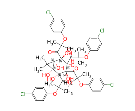 CC(C)(Oc1ccc(Cl)cc1)C(=O)[C@@]1(O)[C@](O)(C(=O)C(C)(C)Oc2ccc(Cl)cc2)[C@@](O)(C(=O)C(C)(C)Oc2ccc(Cl)cc2)[C@@]2(O)C(C)(C)[C@@]2(O)[C@]1(O)C(=O)C(C)(C)Oc1ccc(Cl)cc1